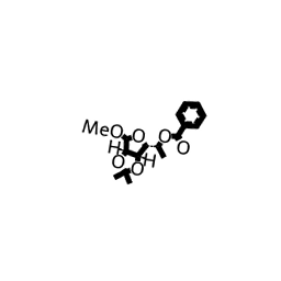 COC1O[C@H](C(C)OC(=O)c2ccccc2)[C@H]2OC(C)(C)O[C@@H]12